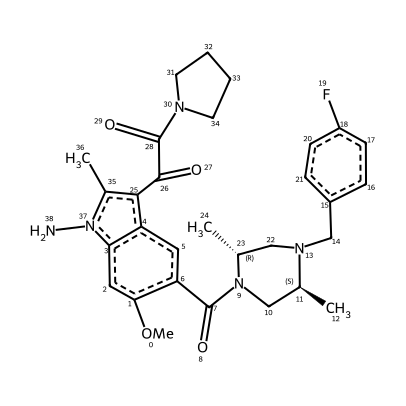 COc1cc2c(cc1C(=O)N1C[C@H](C)N(Cc3ccc(F)cc3)C[C@H]1C)c(C(=O)C(=O)N1CCCC1)c(C)n2N